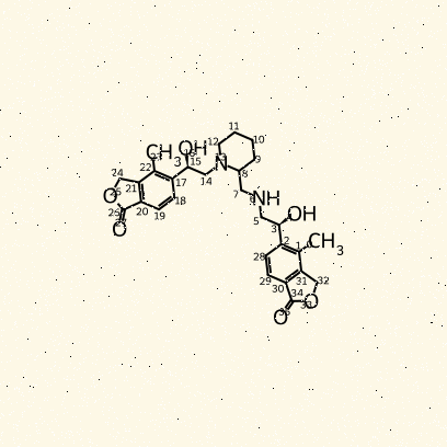 Cc1c([C@H](O)CNCC2CCCCN2C[C@H](O)c2ccc3c(c2C)COC3=O)ccc2c1COC2=O